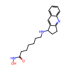 O=C(CCCCCCNC1CCc2nc3ccccc3cc21)NO